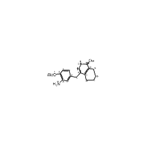 COc1ccc(Cc2n[nH]c(=O)c3c2CCCC3)cc1N